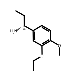 CCOc1cc([C@H](N)CC)ccc1OC